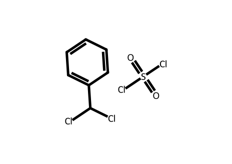 ClC(Cl)c1ccccc1.O=S(=O)(Cl)Cl